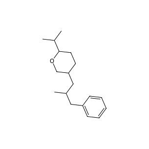 CC(Cc1ccccc1)CC1CCC(C(C)C)OC1